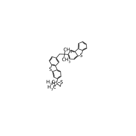 CC(C)(Cc1ccc2sc3cc([SH]4(C)(C)CS4)ccc3c2c1)c1ccc2sc3ccccc3c2c1